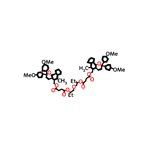 CCC(COCC(CC)OC(=O)CCC(=O)OCc1c2c(c3ccccc3c1C)OC(c1ccc(OC)cc1)(c1ccc(OC)cc1)C=C2)OC(=O)CCC(=O)OCc1c2c(c3ccccc3c1C)OC(c1ccc(OC)cc1)(c1ccc(OC)cc1)C=C2